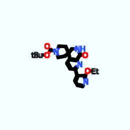 CCOc1ncccc1-c1ccc2c(n1)C(=O)NCC21CCN(C(=O)OC(C)(C)C)CC1